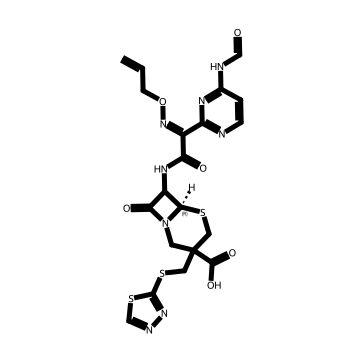 C=CCON=C(C(=O)NC1C(=O)N2CC(CSc3nncs3)(C(=O)O)CS[C@H]12)c1nccc(NC=O)n1